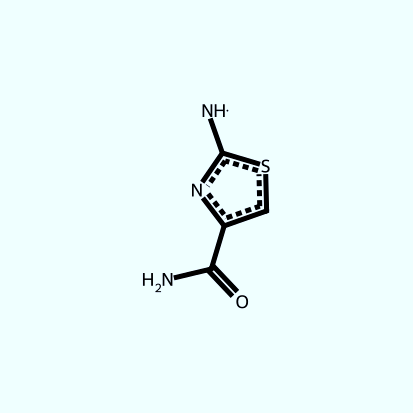 [NH]c1nc(C(N)=O)cs1